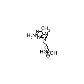 Cc1nc(N)nc2c1ncn2CCOCP(=O)(O)O